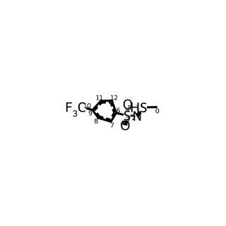 C[SH]=NS(=O)(=O)c1ccc(C(F)(F)F)cc1